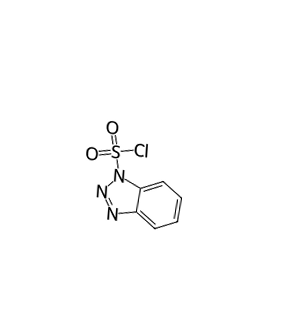 O=S(=O)(Cl)n1nnc2ccccc21